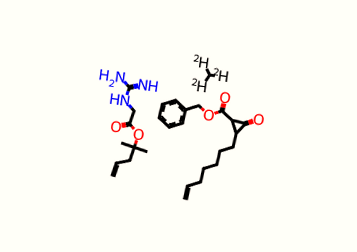 C=CCC(C)(C)OC(=O)CNC(=N)N.C=CCCCCCC1C(=O)C1C(=O)OCc1ccccc1.[2H]C([2H])[2H]